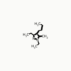 C=c1/c(=C\C=C/C)c(CC)nn1CC